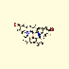 Brc1ccc(N2c3ccccc3B3c4ccccc4N(c4ccc(Br)cc4)c4cccc2c43)cc1